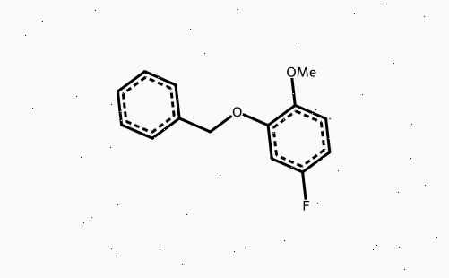 COc1[c]cc(F)cc1OCc1ccccc1